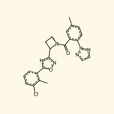 Cc1ccc(-n2nccn2)c(C(=O)N2CCC2c2noc(-c3cccc(Cl)c3C)n2)c1